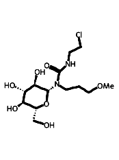 COCCCN(C(=O)NCCCl)[C@@H]1O[C@H](CO)[C@@H](O)[C@H](O)[C@H]1O